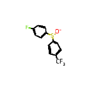 [O-][S+](c1ccc(F)cc1)c1ccc(C(F)(F)F)cc1